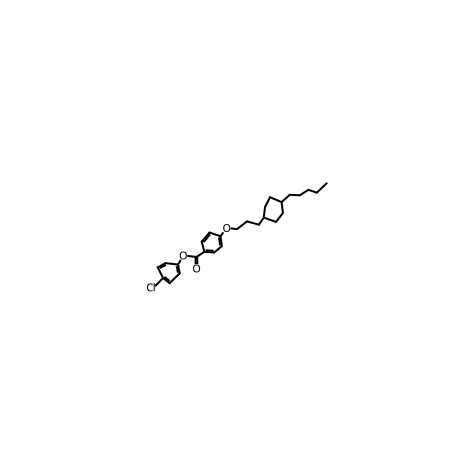 CCCCCC1CCC(CCCOc2ccc(C(=O)Oc3ccc(Cl)cc3)cc2)CC1